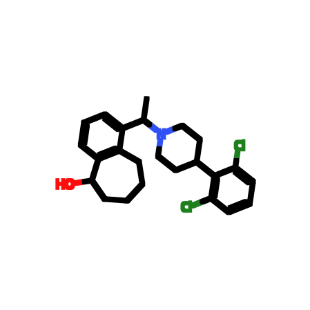 CC(c1cccc2c1CCCCC2O)N1CCC(c2c(Cl)cccc2Cl)CC1